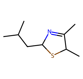 CC1=NC(CC(C)C)SC1C